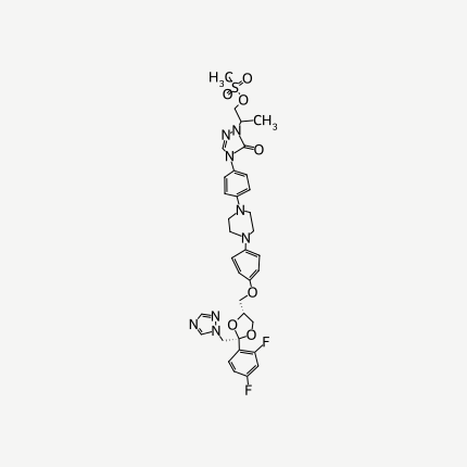 CC(COS(C)(=O)=O)n1ncn(-c2ccc(N3CCN(c4ccc(OC[C@@H]5CO[C@@](Cn6cncn6)(c6ccc(F)cc6F)O5)cc4)CC3)cc2)c1=O